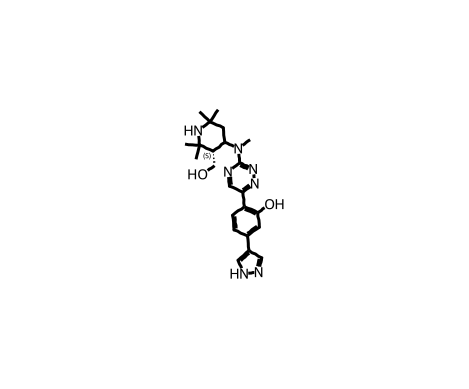 CN(c1ncc(-c2ccc(-c3cn[nH]c3)cc2O)nn1)C1CC(C)(C)NC(C)(C)[C@H]1CO